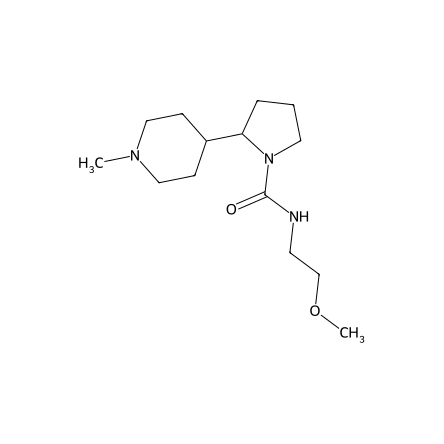 COCCNC(=O)N1CCCC1C1CCN(C)CC1